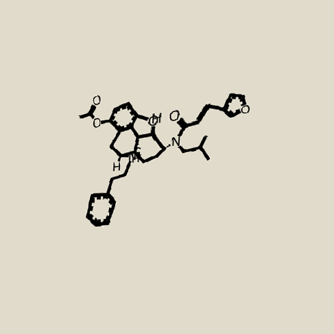 CC(=O)Oc1ccc2c3c1C[C@@H]1[C@@H]4CC[C@@H](N(CC(C)C)C(=O)/C=C/c5ccoc5)[C@H](O2)[C@]34CCN1CCc1ccccc1